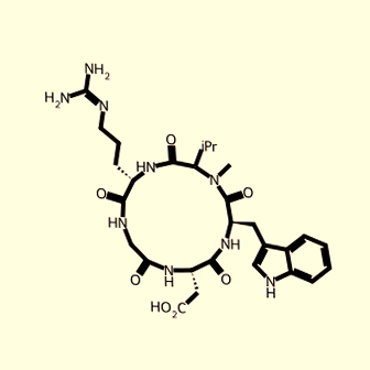 CC(C)C1C(=O)N[C@@H](CCCN=C(N)N)C(=O)NCC(=O)N[C@@H](CC(=O)O)C(=O)N[C@H](Cc2c[nH]c3ccccc23)C(=O)N1C